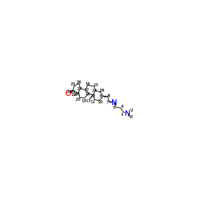 CN(C)CCC/N=C/C=C1\CC[C@@]2(C)C(CCC3C2CC[C@]2(C)C(=O)CCC32)C1